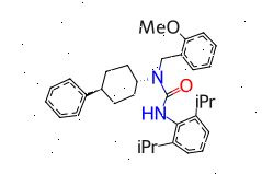 COc1ccccc1CN(C(=O)Nc1c(C(C)C)cccc1C(C)C)[C@H]1CC[C@H](c2ccccc2)CC1